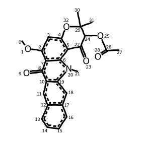 COc1cc2c(c3c1c(=O)c1cc4ccccc4cc1n3C)C(=O)C(OC(C)=O)C(C)(C)O2